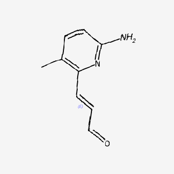 Cc1ccc(N)nc1/C=C/C=O